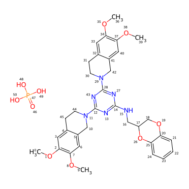 COc1cc2c(cc1OC)CN(c1nc(NCC3COc4ccccc4O3)nc(N3CCc4cc(OC)c(OC)cc4C3)n1)CC2.O=P(O)(O)O